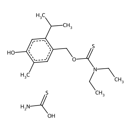 CCN(CC)C(=S)OCc1cc(C)c(O)cc1C(C)C.NC(O)=S